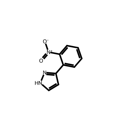 O=[N+]([O-])c1ccccc1-c1cc[nH]n1